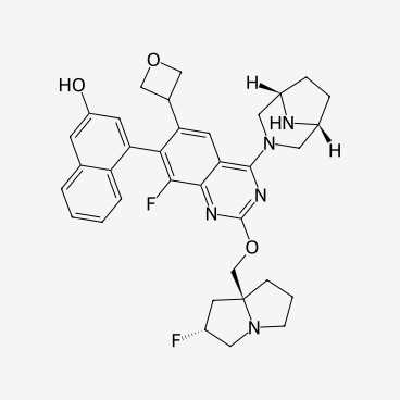 Oc1cc(-c2c(C3COC3)cc3c(N4C[C@H]5CC[C@@H](C4)N5)nc(OC[C@@]45CCCN4C[C@H](F)C5)nc3c2F)c2ccccc2c1